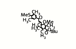 COC1C(C)=C(C(=O)OC(C)(C)C)C(C)=C(C)C1(C)C=CC(=O)c1cc(C)c(SC)c(C)c1